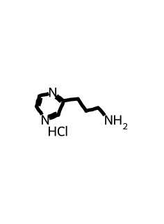 Cl.NCCCc1cnccn1